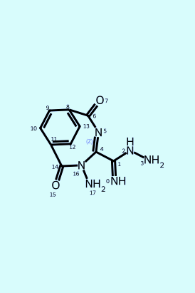 N=C(NN)/C1=N/C(=O)c2ccc(cc2)C(=O)N1N